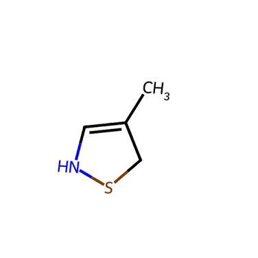 CC1=CNSC1